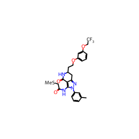 CSCC(=O)Nc1c2c(nn1-c1cccc(C)c1)CC(CCOc1cccc(OCC(F)(F)F)c1)NC2=O